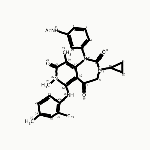 CC(=O)Nc1cccc(N2C(=O)N(C3CC3)CC(=O)c3c2c(C)c(=O)n(C)c3Nc2ccc(C)cc2F)c1